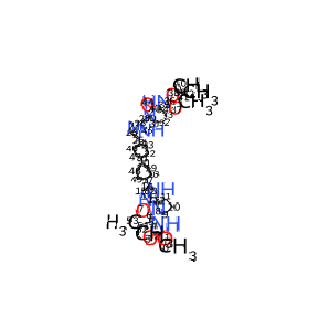 COC(=O)N[C@H](C(=O)N1CCC[C@H]1C1=NCC(c2ccc(-c3ccc(-c4cnc(CN5CCC[C@H](NC(=O)OC(C)(C)C)C5=O)[nH]4)cc3)cc2)N1)C(C)C